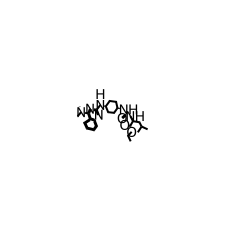 CCOC(=O)C(CC(C)C)NC(=O)N[C@H]1CC[C@@H](Nc2nc(N(C)C)c3ccccc3n2)CC1